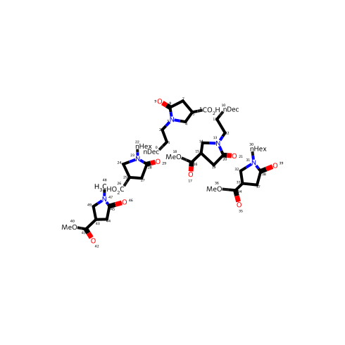 CCCCCCCCCCCCN1CC(C(=O)O)CC1=O.CCCCCCCCCCCCN1CC(C(=O)OC)CC1=O.CCCCCCN1CC(C(=O)O)CC1=O.CCCCCCN1CC(C(=O)OC)CC1=O.COC(=O)C1CC(=O)N(C)C1